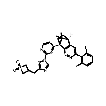 CC1(C)[C@H]2CC[C@@]1(c1ccnc(-n3cnc(CC4CS(=O)(=O)C4)n3)n1)c1nnc(-c3c(F)cccc3F)cc12